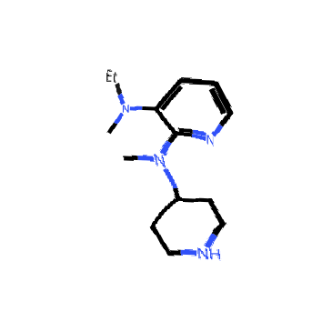 CCN(C)c1cccnc1N(C)C1CCNCC1